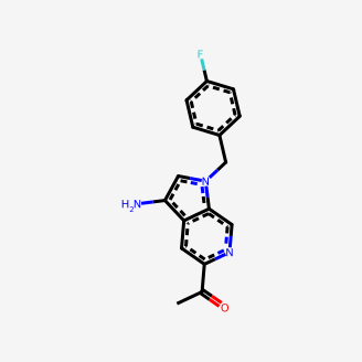 CC(=O)c1cc2c(N)cn(Cc3ccc(F)cc3)c2cn1